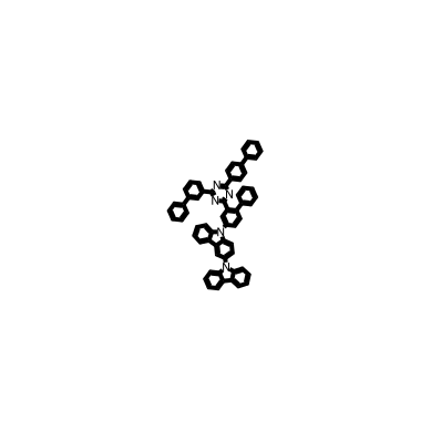 c1ccc(-c2ccc(-c3nc(-c4cccc(-c5ccccc5)c4)nc(-c4cc(-n5c6ccccc6c6cc(-n7c8ccccc8c8ccccc87)ccc65)ccc4-c4ccccc4)n3)cc2)cc1